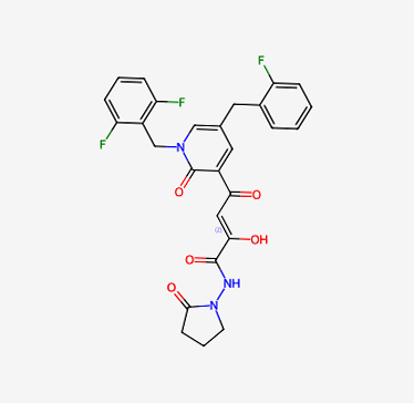 O=C(NN1CCCC1=O)/C(O)=C/C(=O)c1cc(Cc2ccccc2F)cn(Cc2c(F)cccc2F)c1=O